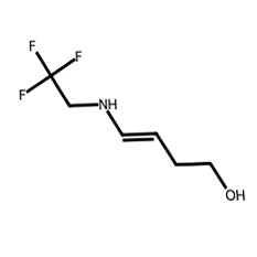 OCCC=CNCC(F)(F)F